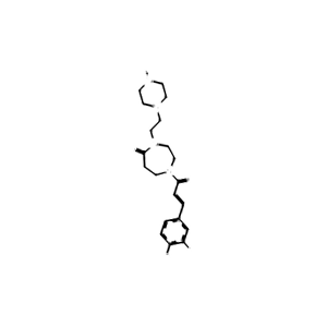 CN1CCN(CCN2CCN(C(=O)/C=C/c3ccc(Cl)c(Cl)c3)CCC2=O)CC1